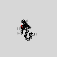 C=C(C)C(=O)O.C=C(C)C(=O)O.CC(O)COC(C)COC(C)COC(C)COC(C)COC(C)COC(C)COC(C)COC(C)COC(C)COC(C)COC(C)CO.OCCOCCOCCO.OCCOCCOCCO